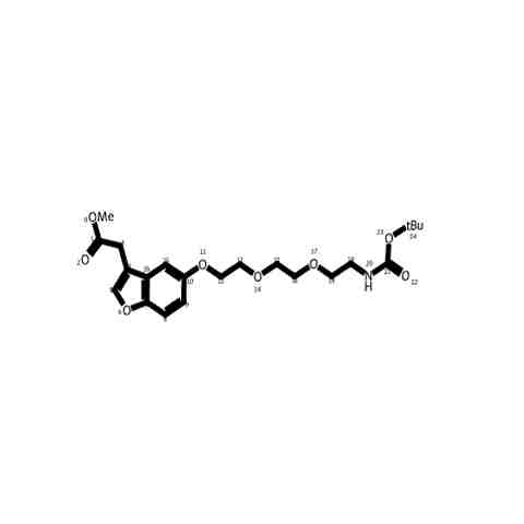 COC(=O)Cc1coc2ccc(OCCOCCOCCNC(=O)OC(C)(C)C)cc12